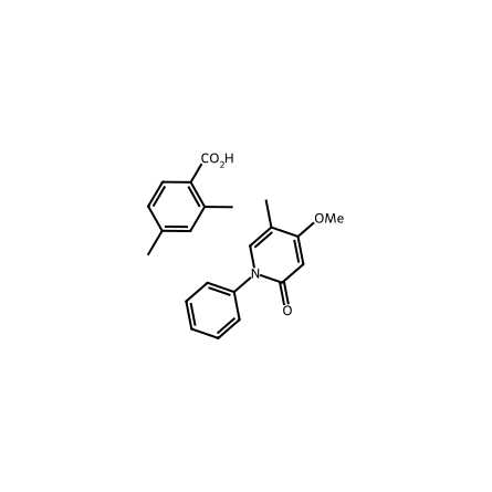 COc1cc(=O)n(-c2ccccc2)cc1C.Cc1ccc(C(=O)O)c(C)c1